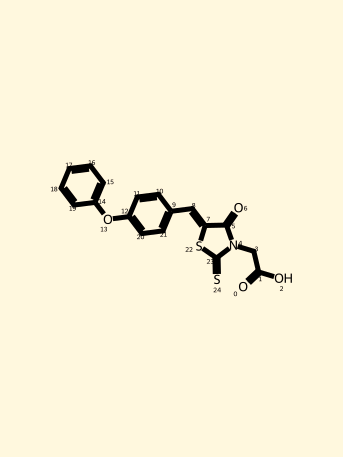 O=C(O)CN1C(=O)C(=Cc2ccc(Oc3ccccc3)cc2)SC1=S